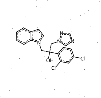 OC(Cn1cncn1)(Cn1ccc2ccccc21)c1ccc(Cl)cc1Cl